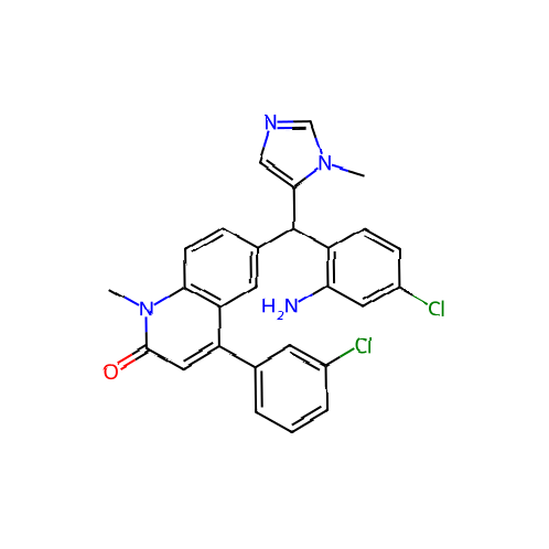 Cn1cncc1C(c1ccc2c(c1)c(-c1cccc(Cl)c1)cc(=O)n2C)c1ccc(Cl)cc1N